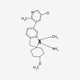 COC1CCC2(CC1)Cc1ccc(-c3cc(Cl)cnc3C)cc1C21N=C(C)C(N)=N1